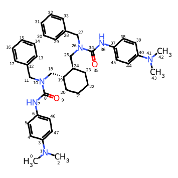 CN(C)c1ccc(NC(=O)N(Cc2ccccc2)C[C@H]2CCCC[C@@H]2CN(Cc2ccccc2)C(=O)Nc2ccc(N(C)C)cc2)cc1